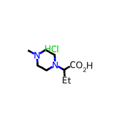 CCC(C(=O)O)N1CCN(C)CC1.Cl